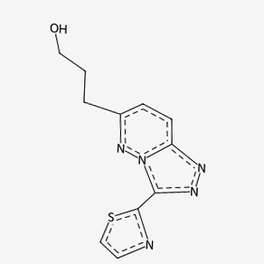 OCCCc1ccc2nnc(-c3nccs3)n2n1